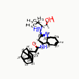 CC(C)(C)[C@H](CO)Nc1cc(NC(=O)CC23CC4CC(CC(C4)C2)C3)c2ccccc2n1